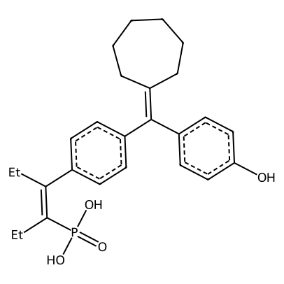 CCC(=C(CC)P(=O)(O)O)c1ccc(C(=C2CCCCCC2)c2ccc(O)cc2)cc1